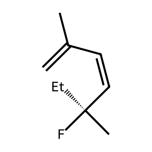 C=C(C)/C=C\[C@@](C)(F)CC